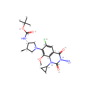 COc1c(N2C[C@@H](C)[C@H](NC(=O)OC(C)(C)C)C2)c(F)cc2c(=O)n(N)c(=O)n(C3CC3)c12